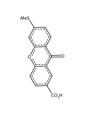 CSc1ccc2c(=O)c3cc(C(=O)O)ccc3oc2c1